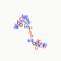 CNC(=O)c1nnc(NC(=O)CNC(=O)CCOCCOCCNc2ccc3c(c2)C(=O)N(C2CCC(=O)NC2=O)C3=O)cc1Nc1cccc(-c2ncn(C)n2)c1OC